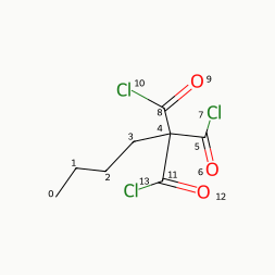 CCCCC(C(=O)Cl)(C(=O)Cl)C(=O)Cl